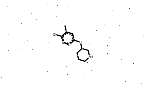 Cc1cc(OC2CCCNC2)nnc1Cl